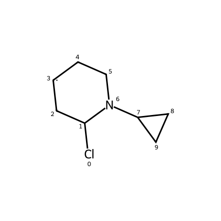 ClC1C[CH]CCN1C1CC1